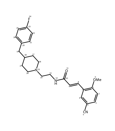 COc1ccc(C#N)cc1/C=C/C(=O)NCCN1CCC(Cc2ccc(F)cc2)CC1